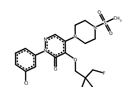 CS(=O)(=O)N1CCN(c2cnn(-c3cccc(Cl)c3)c(=O)c2OCC2(CF)CC2)CC1